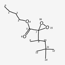 CCCCOC(=O)C1(C(C)CC(C)(C)C)OO1